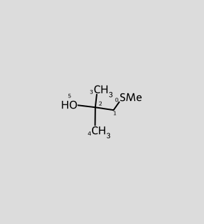 CSCC(C)(C)O